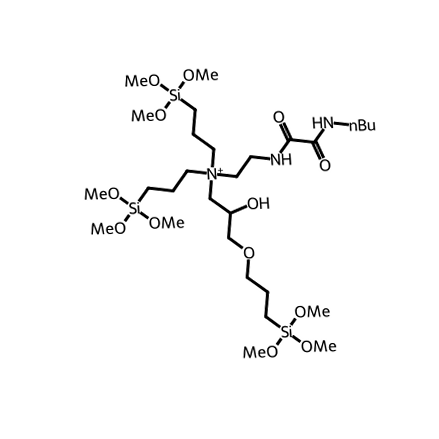 CCCCNC(=O)C(=O)NCC[N+](CCC[Si](OC)(OC)OC)(CCC[Si](OC)(OC)OC)CC(O)COCCC[Si](OC)(OC)OC